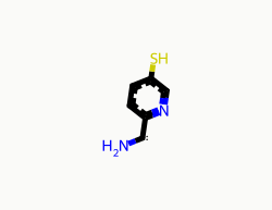 N[C]c1ccc(S)cn1